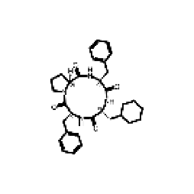 O=C1N[C@H](CC2CCCCC2)C(=O)N[C@@H](Cc2ccccc2)C(=O)N2CCC[C@@H]2C(=O)N[C@H]1Cc1ccccc1